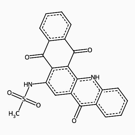 CS(=O)(=O)Nc1cc2c(=O)c3ccccc3[nH]c2c2c1C(=O)c1ccccc1C2=O